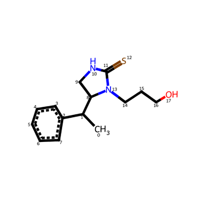 CC(c1ccccc1)C1CNC(=S)N1CCCO